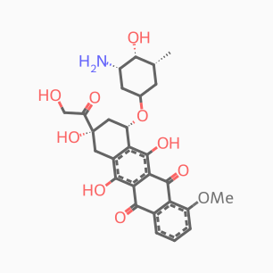 COc1cccc2c1C(=O)c1c(O)c3c(c(O)c1C2=O)C[C@@](O)(C(=O)CO)C[C@@H]3OC1C[C@@H](C)[C@@H](O)[C@@H](N)C1